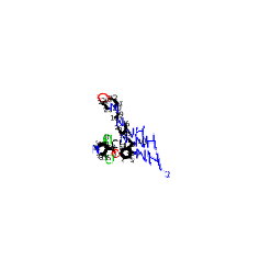 CC(Oc1ccc(N)c(C(=N)c2nc3c([nH]2)CN(CCN2CCOCC2)C3)c1)c1c(Cl)cncc1Cl